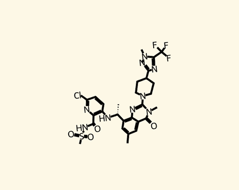 Cc1cc([C@@H](C)Nc2ccc(Cl)nc2C(=O)NS(C)(=O)=O)c2nc(N3CCC(c4nc(C(F)(F)F)n(C)n4)CC3)n(C)c(=O)c2c1